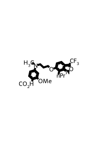 CCCc1c(OCCCN(C)c2ccc(C(=O)O)c(OC)c2)ccc2c(C(F)(F)F)onc12